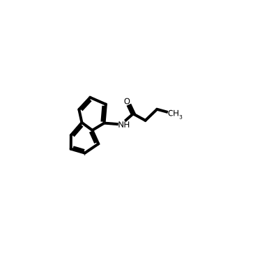 CCCC(=O)Nc1cccc2cc[c]cc12